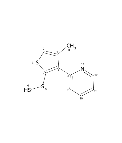 Cc1csc(SS)c1-c1ccccn1